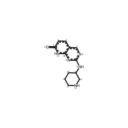 O=c1ccc2cnc(NC3CCCNC3)nc2[nH]1